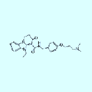 CCN1C2=C(C(=O)NCc3ccc(OCCCN(C)C)cc3)C(=O)CCN2c2ccccc21